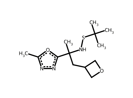 Cc1nnc(C(C)(CC2COC2)NSC(C)(C)C)o1